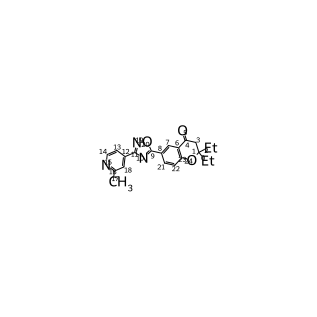 CCC1(CC)CC(=O)c2cc(-c3nc(-c4ccnc(C)c4)no3)ccc2O1